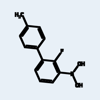 Cc1ccc(-c2cccc(B(O)O)c2F)cc1